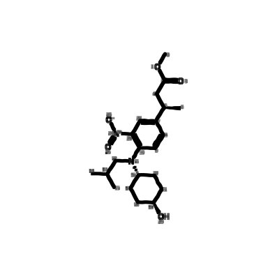 COC(=O)C[C@@H](C)c1ccc(N(CC(C)C)[C@H]2CC[C@H](O)CC2)c([N+](=O)[O-])c1